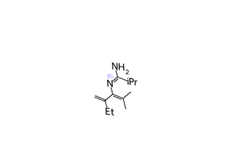 C=C(CC)C(/N=C(/N)C(C)C)=C(C)C